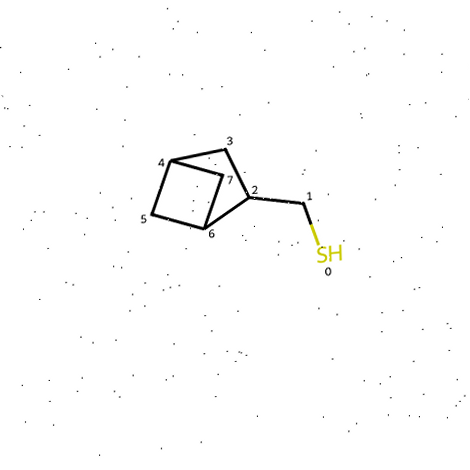 SCC1CC2CC1C2